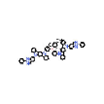 Cc1cc(C)c(B(c2cccc(-n3c4ccccc4c4cc5c(cc43)c3ccccc3n5-c3ccc4nc(-c5ccccc5)ncc4c3)c2)c2cccc(-n3c4ccccc4c4cc5c(cc43)c3ccccc3n5-c3ccc4cnc(-c5ccccc5)nc4c3)c2)c(C)c1